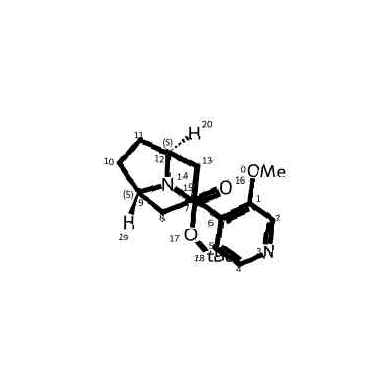 COc1cnccc1C1C[C@@H]2CC[C@@H](C1)N2C(=O)OC(C)(C)C